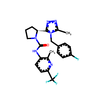 Cc1nc(C(F)(F)F)ccc1NC(=O)N1CCC[C@@H]1c1nnc(C)n1Cc1ccc(F)cc1